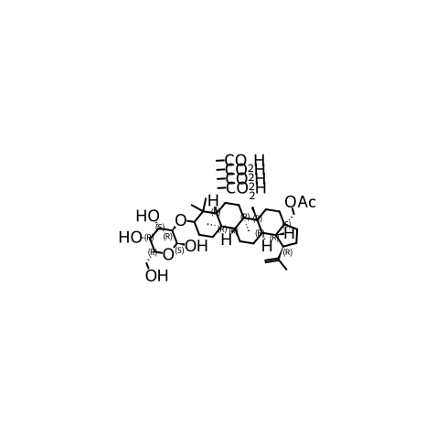 C=C(C)[C@@H]1CC[C@]2(COC(C)=O)CC[C@]3(C)[C@H](CC[C@@H]4[C@@]5(C)CCC(O[C@@H]6[C@@H](O)[C@@H](O)[C@@H](CO)O[C@@H]6O)C(C)(C)[C@@H]5CC[C@]43C)[C@@H]12.CC(=O)O.CC(=O)O.CC(=O)O.CC(=O)O